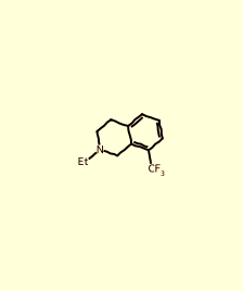 CCN1CCc2cccc(C(F)(F)F)c2C1